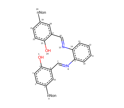 CCCCCCCCCc1ccc(O)c(C=Nc2ccccc2N=Cc2cc(CCCCCCCCC)ccc2O)c1